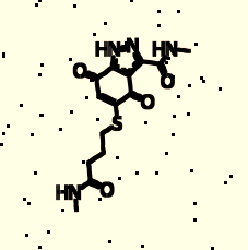 CNC(=O)CCCSC1=CC(=O)c2[nH]nc(C(=O)NC)c2C1=O